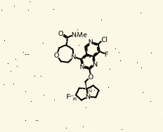 CNC(=O)C1COCCN(c2nc(OC[C@@]34CCCN3C[C@H](F)C4)nc3c(F)c(Cl)ncc23)C1